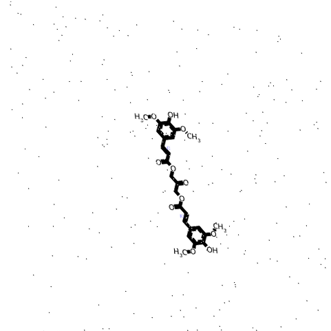 COc1cc(/C=C/C(=O)OCC(=O)COC(=O)/C=C/c2cc(OC)c(O)c(OC)c2)cc(OC)c1O